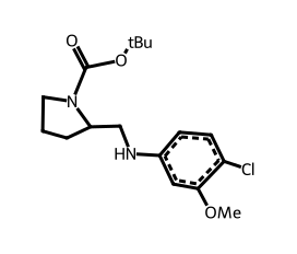 COc1cc(NCC2CCCN2C(=O)OC(C)(C)C)ccc1Cl